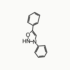 C1=C(c2ccccc2)ONN1c1ccccc1